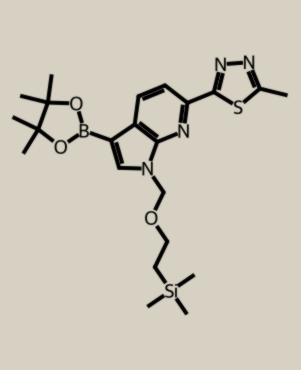 Cc1nnc(-c2ccc3c(B4OC(C)(C)C(C)(C)O4)cn(COCC[Si](C)(C)C)c3n2)s1